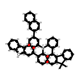 CC1(C)c2ccccc2-c2c(-c3ccccc3N(c3cccc(-c4ccc5ccccc5c4)c3)c3ccccc3-c3ccc4c(c3)oc3ccccc34)cccc21